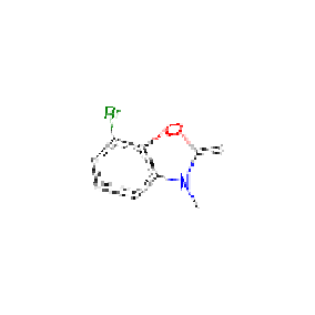 C=C1Oc2c(Br)cccc2N1C